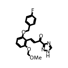 COCOc1cccc(OCc2ccc(F)cc2)c1C=CC(=O)c1nc[nH]n1